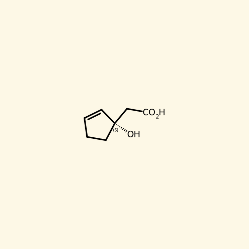 O=C(O)C[C@]1(O)C=CCC1